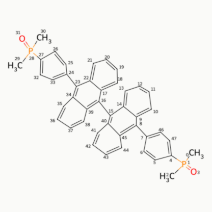 CP(C)(=O)c1ccc(-c2c3ccccc3c(-c3c4ccccc4c(-c4ccc(P(C)(C)=O)cc4)c4ccccc34)c3ccccc23)cc1